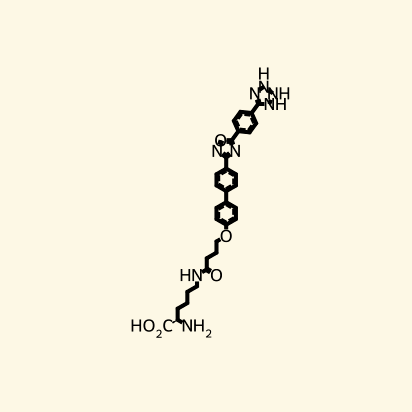 N[C@@H](CCCCNC(=O)CCCOc1ccc(-c2ccc(-c3noc(-c4ccc(C5=NNNN5)cc4)n3)cc2)cc1)C(=O)O